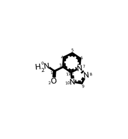 NC(=O)c1cccn2ncnc12